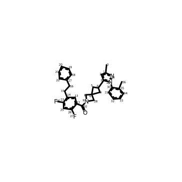 Cc1cc(C2CC3(C2)CN(C(=O)c2cc(CCc4ccccc4)c(F)cc2F)C3)n(-c2ccccc2C)n1